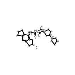 O=C(Nc1c2c(cc3c1CCC3)CCC2)NS(=O)(=O)N1CCC(N2CCCC2)C1.[K]